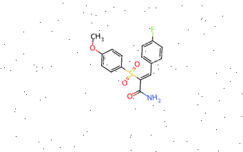 COc1ccc(S(=O)(=O)/C(=C\c2ccc(F)cc2)C(N)=O)cc1